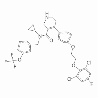 O=C(C1=C(c2ccc(OCCOc3c(Cl)cc(F)cc3Cl)cc2)CCNC1)N(Cc1cccc(OC(F)(F)F)c1)C1CC1